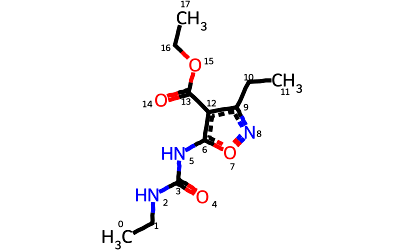 CCNC(=O)Nc1onc(CC)c1C(=O)OCC